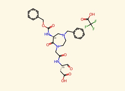 O=C(O)C(F)(F)F.O=C[C@H](CC(=O)O)NC(=O)CN1CCN(Cc2ccccc2)C[C@H](NC(=O)OCc2ccccc2)C1=O